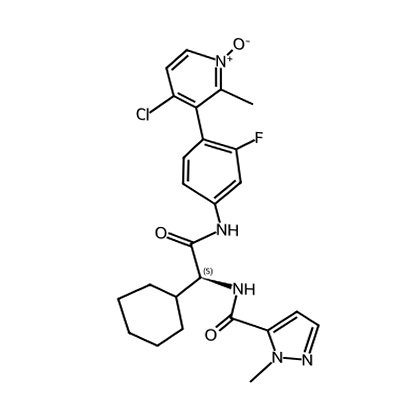 Cc1c(-c2ccc(NC(=O)[C@@H](NC(=O)c3ccnn3C)C3CCCCC3)cc2F)c(Cl)cc[n+]1[O-]